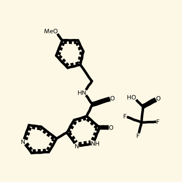 COc1ccc(CNC(=O)c2cc(-c3ccncc3)n[nH]c2=O)cc1.O=C(O)C(F)(F)F